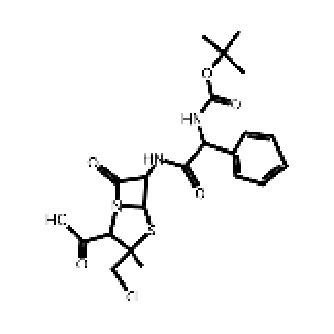 CC(C)(C)OC(=O)NC(C(=O)NC1C(=O)N2C1SC(C)(CCl)C2C(=O)O)c1ccccc1